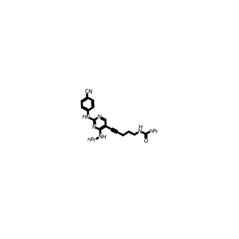 CCCNc1nc(Nc2ccc(C#N)cc2)ncc1C#CCCCNC(=O)CCC